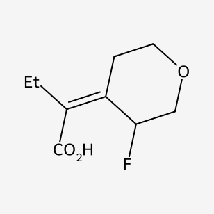 CCC(C(=O)O)=C1CCOCC1F